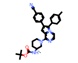 CC1=CCC(c2c(-c3ccc(C#N)cc3)cc3c(N4CCC[C@](C)(NC(=O)OC(C)(C)C)C4)nccn23)C=C1